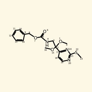 COC(CNC(=O)OCc1ccccc1)(OC)c1ccnc(SC)n1